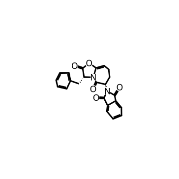 O=C1OC2=CCC[C@H](N3C(=O)c4ccccc4C3=O)C(=O)N2[C@@H]1Cc1ccccc1